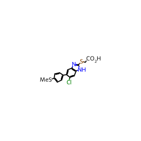 CSc1ccc(-c2cc3nc(SCC(=O)O)[nH]c3cc2Cl)cc1